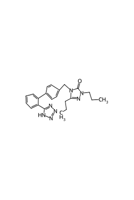 CCCc1nn(CCC)c(=O)n1Cc1ccc(-c2ccccc2-c2nnn[nH]2)cc1